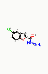 NNC(=O)c1cc2cc(Cl)ccc2o1